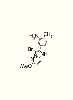 COC1=NN2C(Br)=C(c3ccc(C)c(N)c3)NC2C=C1